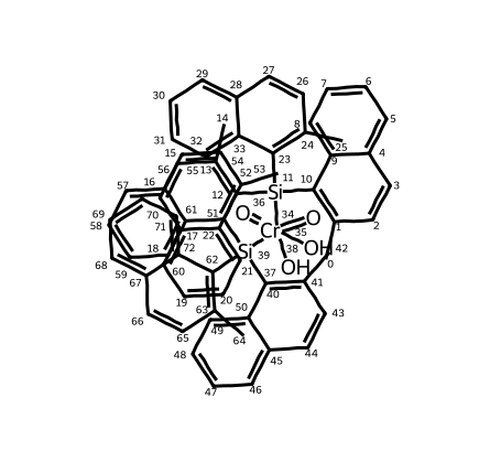 Cc1ccc2ccccc2c1[Si](c1c(C)ccc2ccccc12)(c1c(C)ccc2ccccc12)[Cr](=[O])(=[O])([OH])([OH])[Si](c1c(C)ccc2ccccc12)(c1c(C)ccc2ccccc12)c1c(C)ccc2ccccc12